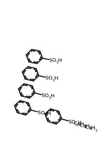 O=S(=O)(O)c1ccccc1.O=S(=O)(O)c1ccccc1.O=S(=O)(O)c1ccccc1.O=S(=O)(O)c1ccccc1.O=S(=O)(O)c1ccccc1.[CaH2].[CaH2].[CaH2]